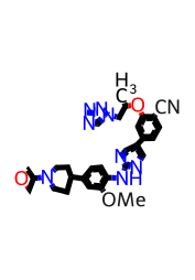 COc1cc(C2CCN(C3COC3)CC2)ccc1Nc1ncc(-c2ccc(C#N)c(OC(C)Cn3cnnn3)c2)cn1